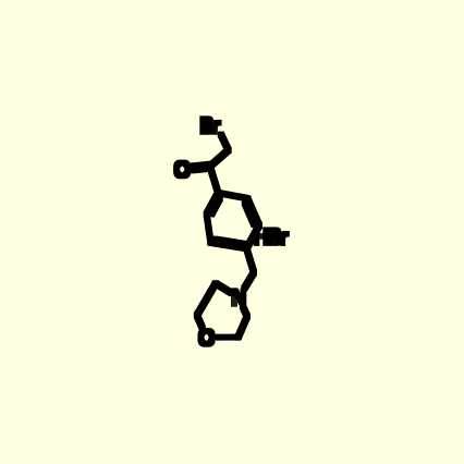 Br.O=C(CBr)c1ccc(CN2CCOCC2)cc1